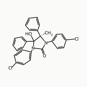 C[C@]1(c2ccccc2)N(c2ccc(Cl)cc2)C(=O)N(c2ccc(Cl)cc2)C1(O)c1ccccc1